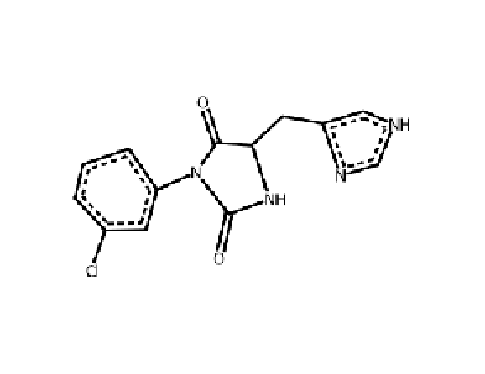 O=C1NC(Cc2c[nH]cn2)C(=O)N1c1cccc(Cl)c1